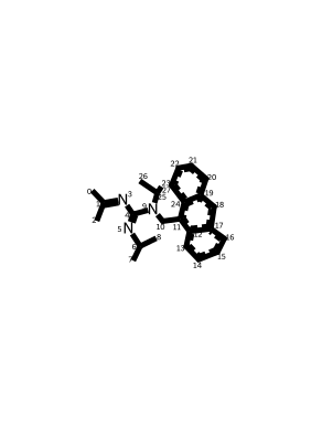 CC(C)=N/C(=N/C(C)C)N(Cc1c2ccccc2cc2ccccc12)C(C)C